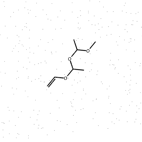 C=COC(C)OC(C)OC